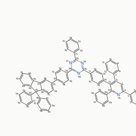 c1ccc(-c2cc(-c3ccccc3)c(-c3ccc(-c4nc(-c5ccccc5)nc(-c5ccc(-c6ccc7c(c6)-c6ccccc6C7(c6ccccc6)c6ccccc6)cc5)n4)cc3)c(-c3ccccc3)n2)cc1